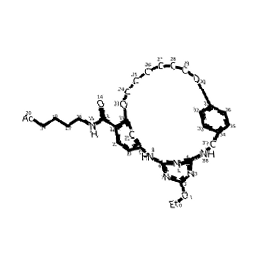 CCOc1nc2nc(n1)Nc1ccc(C(=O)NCCCCC(C)=O)c(c1)OCCCCCCOc1ccc(cc1)CN2